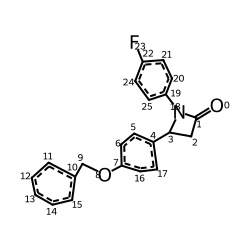 O=C1CC(c2ccc(OCc3ccccc3)cc2)N1c1ccc(F)cc1